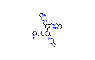 c1c[nH]c(CNCc2cc(CNCc3ccc[nH]3)cc(-c3cc(CNCc4ccc[nH]4)cc(CNCc4ccc[nH]4)c3)c2)c1